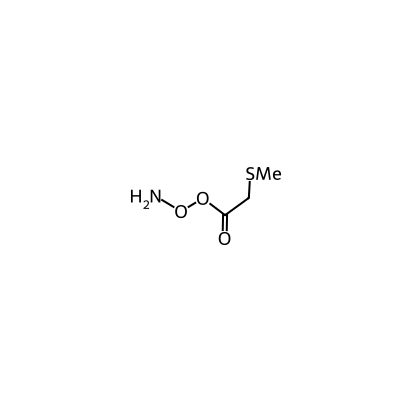 CSCC(=O)OON